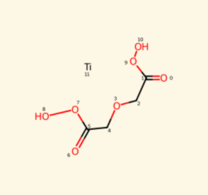 O=C(COCC(=O)OO)OO.[Ti]